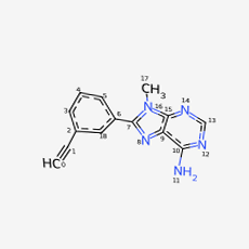 C#Cc1cccc(-c2nc3c(N)ncnc3n2C)c1